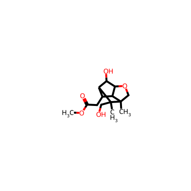 COC(=O)CC1C2C(O)C3OCC(C)(C13)C2(C)CO